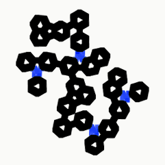 c1ccc(-n2c3ccccc3c3ccc(-c4cc(-c5cc6c7c(cccc7c5)-c5cc(-c7ccccc7-c7cccc(-n8c9ccccc9c9ccc(-c%10ccc%11c(c%10)c%10ccc%12ccccc%12c%10n%11-c%10ccccc%10)cc98)c7)ccc5-6)c5c6ccc7ccccc7c6n(-c6ccc(-c7ccccc7-c7ccc8c(c7)-c7cccc9cccc-8c79)cc6)c5c4)cc32)cc1